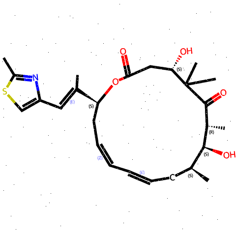 C/C(=C\c1csc(C)n1)[C@@H]1C/C=C\C=C\C[C@H](C)[C@H](O)[C@@H](C)C(=O)C(C)(C)[C@@H](O)CC(=O)O1